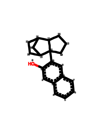 Oc1cc2ccccc2cc1C12CCCC1C1CCC2C1